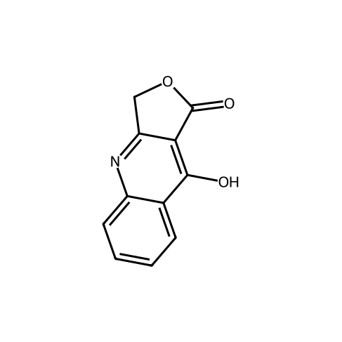 O=C1OCc2nc3ccccc3c(O)c21